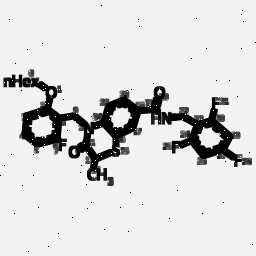 CCCCCCOc1cccc(F)c1CN1C(=O)C(C)Sc2cc(C(=O)NCc3c(F)cc(F)cc3F)ccc21